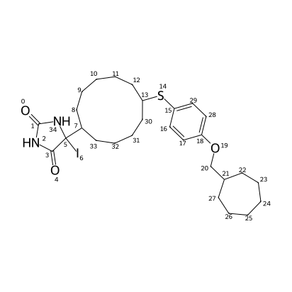 O=C1NC(=O)C(I)(C2CCCCCC(Sc3ccc(OCC4CCCCCC4)cc3)CCCC2)N1